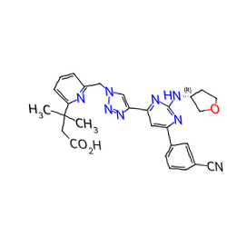 CC(C)(CC(=O)O)c1cccc(Cn2cc(-c3cc(-c4cccc(C#N)c4)nc(N[C@@H]4CCOC4)n3)nn2)n1